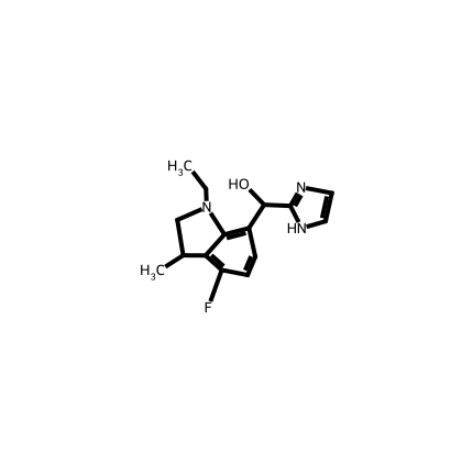 CCN1CC(C)c2c(F)ccc(C(O)c3ncc[nH]3)c21